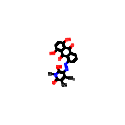 CCn1c(O)c(/N=N/c2cccc3c2C(=O)c2c(O)ccc(O)c2C3=O)c(C)c(C#N)c1=O